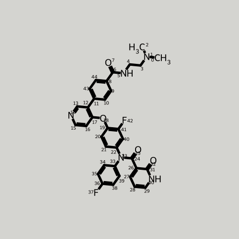 CN(C)CCNC(=O)c1ccc(-c2cnccc2Oc2ccc(N(C(=O)c3ccc[nH]c3=O)c3ccc(F)cc3)cc2F)cc1